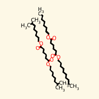 CC(C)CCCCCCOC(=O)CCCCC(=O)OCCCCCCC(C)C.CCCCCCCCCCOC(=O)CCCCC(=O)OCCCCCCCC